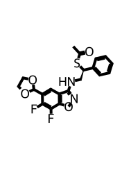 CC(=O)S[C@H](CNc1noc2c(F)c(F)c(C3OCCO3)cc12)c1ccccc1